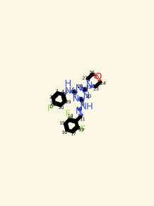 Fc1ccc(Nc2nc(N/N=C/c3c(F)cccc3F)nc(N3CCOCC3)n2)cc1